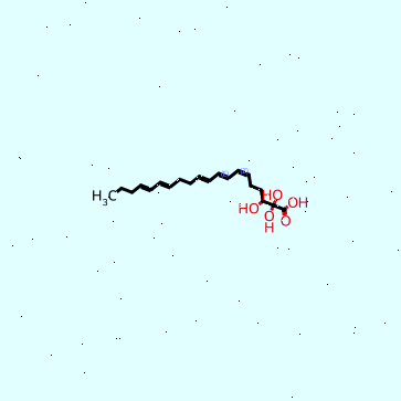 CCCC=CC=CCCC=C/C=C/C=C\CCC(O)C(O)(O)C(=O)O